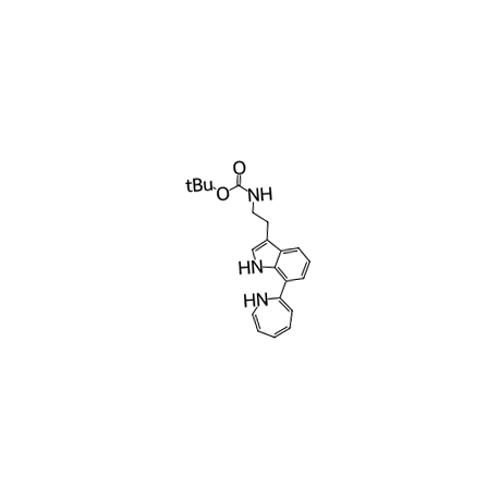 CC(C)(C)OC(=O)NCCc1c[nH]c2c(C3=CC=CC=CN3)cccc12